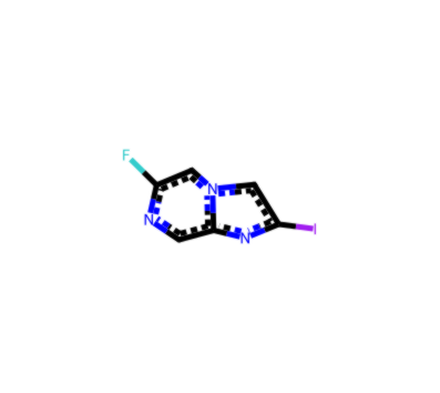 Fc1cn2cc(I)nc2cn1